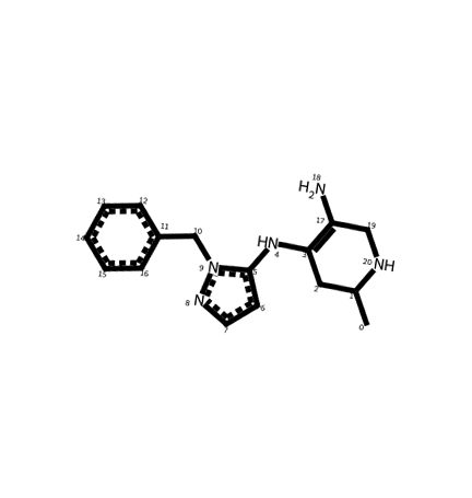 CC1CC(Nc2ccnn2Cc2ccccc2)=C(N)CN1